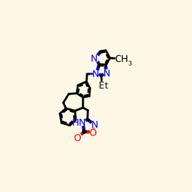 CCc1nc2c(C)ccnc2n1Cc1ccc2c(c1)CCc1ccccc1C2Cc1noc(=O)[nH]1